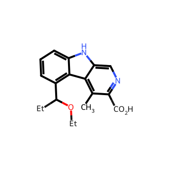 CCOC(CC)c1cccc2[nH]c3cnc(C(=O)O)c(C)c3c12